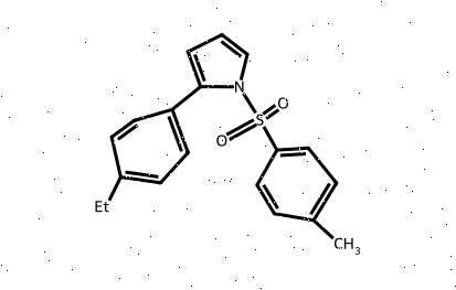 CCc1ccc(-c2cccn2S(=O)(=O)c2ccc(C)cc2)cc1